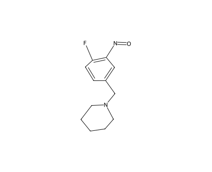 O=Nc1cc(CN2CCCCC2)ccc1F